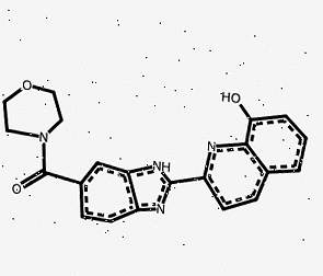 O=C(c1ccc2nc(-c3ccc4cccc(O)c4n3)[nH]c2c1)N1CCOCC1